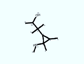 CNC1(C)C(C)C1C(C)(C)C(C)O